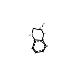 C[C@H]1COc2ccccc2C1